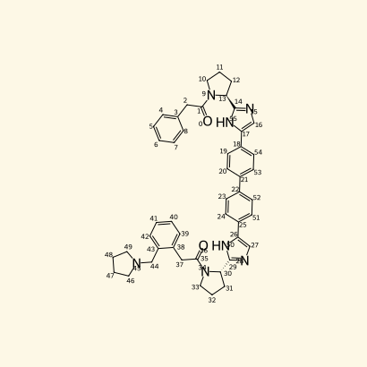 O=C(Cc1ccccc1)N1CCC[C@H]1c1ncc(-c2ccc(-c3ccc(-c4cnc([C@@H]5CCCN5C(=O)Cc5ccccc5CN5CCCC5)[nH]4)cc3)cc2)[nH]1